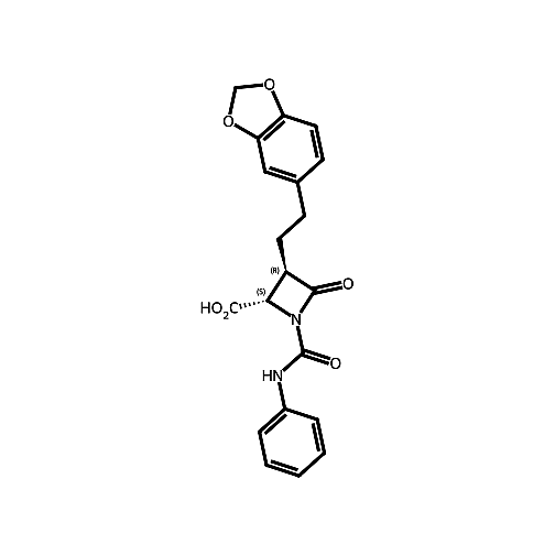 O=C(O)[C@@H]1[C@@H](CCc2ccc3c(c2)OCO3)C(=O)N1C(=O)Nc1ccccc1